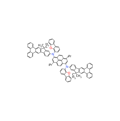 CC(C)c1cc(N(c2ccc3c(c2)C(C)(C)c2cc4c5ccccc5c5ccccc5c4cc2-3)c2cccc3c2oc2ccccc23)c2ccc3c(C(C)C)cc(N(c4ccc5c(c4)C(C)(C)c4cc6c7ccccc7c7ccccc7c6cc4-5)c4cccc5c4oc4ccccc45)c4ccc1c2c34